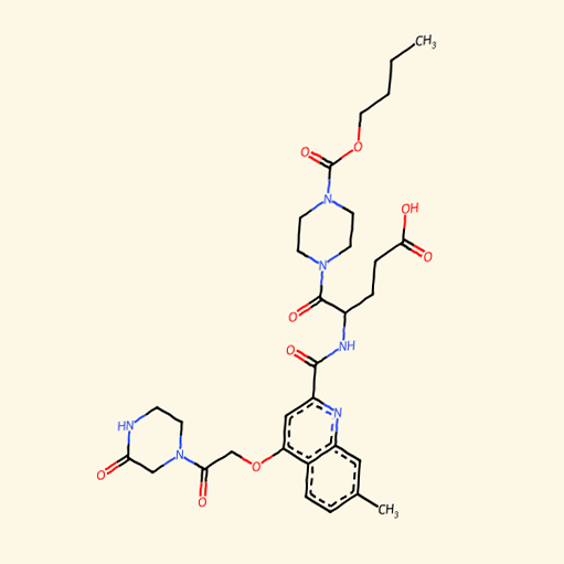 CCCCOC(=O)N1CCN(C(=O)C(CCC(=O)O)NC(=O)c2cc(OCC(=O)N3CCNC(=O)C3)c3ccc(C)cc3n2)CC1